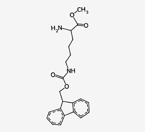 COC(=O)C(N)CCCCNC(=O)OCC1c2ccccc2-c2ccccc21